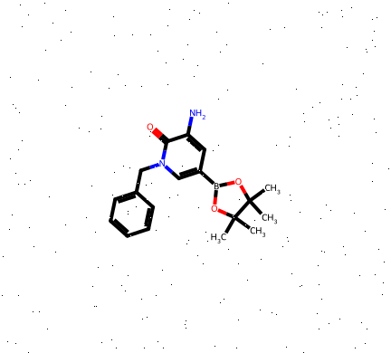 CC1(C)OB(c2cc(N)c(=O)n(Cc3ccccc3)c2)OC1(C)C